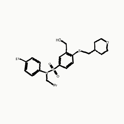 CCc1ccc(N(CC(C)C)S(=O)(=O)c2ccc(SCC3CCOCC3)c(CO)c2)cc1